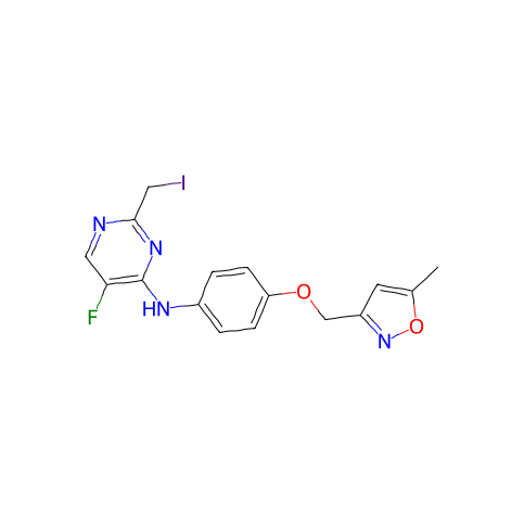 Cc1cc(COc2ccc(Nc3nc(CI)ncc3F)cc2)no1